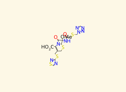 COC1(NC(=O)CSCn2ncnn2)C(=O)N2C(C(=O)O)=C(CSc3ncsn3)CSC21